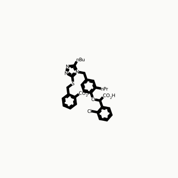 CCCCc1nnc(SCc2ccccc2C(=O)O)n1Cc1ccc(OC(C(=O)O)c2ccccc2Cl)c(CCC)c1